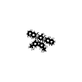 Cc1c2c3c4c5c1Sc1cc6cccnc6cc1B5c1cc(C(C)(C)C)cc5c6cc(C(C)(C)C)cc(c6n-4c15)B3c1cc3ncccc3cc1S2